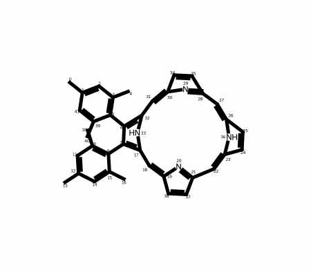 Cc1cc(C)c(-c2c(-c3c(C)cc(C)cc3C)c3cc4nc(cc5ccc(cc6nc(cc2[nH]3)C=C6)[nH]5)C=C4)c(C)c1